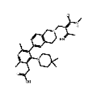 CN/C(Cl)=C(/CN1CCc2cc(-c3c(C)nc(C)c(CC(=O)O)c3N3CCC(C)(C)CC3)ccc2C1)C(C)=N